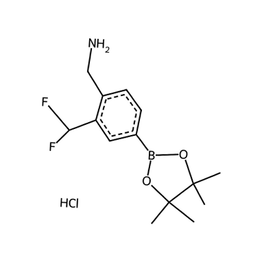 CC1(C)OB(c2ccc(CN)c(C(F)F)c2)OC1(C)C.Cl